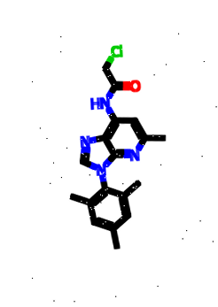 Cc1cc(C)c(-n2cnc3c(NC(=O)CCl)cc(C)nc32)c(C)c1